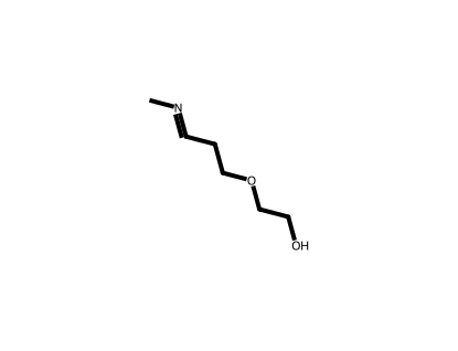 C/N=C/CCOCCO